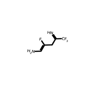 N=C(C/C(F)=C/N)C(F)(F)F